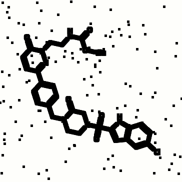 CC(C)(C)OC(=O)NCCn1nc(-c2ccc(CN3CCN(S(=O)(=O)c4cc5cc(Cl)ccc5[nH]4)CC3=O)cc2)ccc1=O